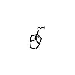 CC(C)N1C2CCC1CC(OI)C2